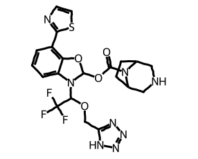 O=C(OC1Oc2c(-c3nccs3)cccc2N1C(OCc1nnn[nH]1)C(F)(F)F)N1C2CCC1CNC2